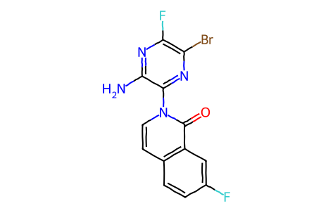 Nc1nc(F)c(Br)nc1-n1ccc2ccc(F)cc2c1=O